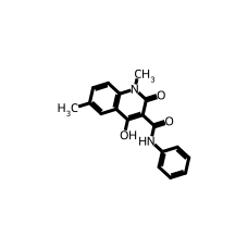 Cc1ccc2c(c1)c(O)c(C(=O)Nc1ccccc1)c(=O)n2C